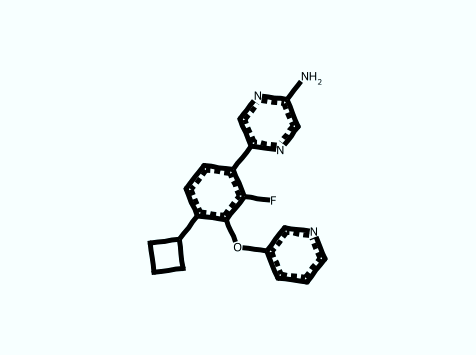 Nc1cnc(-c2ccc(C3CCC3)c(Oc3cccnc3)c2F)cn1